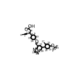 CC#C[C@@H](CC(=O)O)c1ccc(OCc2cc(-c3ccc(OC(F)F)cc3C)cn3ncnc23)cc1